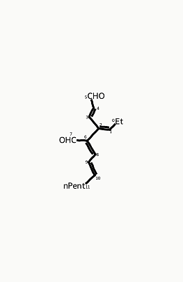 CCC=C(C=CC=O)/C(C=O)=C/C=CCCCCC